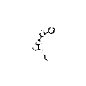 CCCO/N=C1\CCOc2oc(-c3cnc(-c4cccnc4)s3)nc21